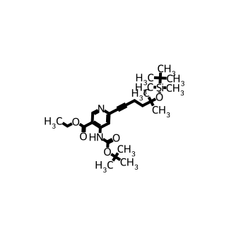 CCOC(=O)c1cnc(C#CCCC(C)(C)O[Si](C)(C)C(C)(C)C)cc1NC(=O)OC(C)(C)C